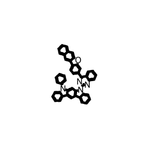 c1ccc(-n2c3ccccc3c3cc4c5ccccc5n(-c5nc(-c6ccc7c(c6)oc6cc8ccccc8cc67)c6ccccc6n5)c4cc32)cc1